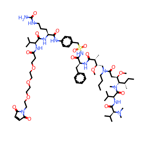 CCCCN(C[C@H](OC)[C@@H](C)C(=O)N[C@@H](Cc1ccccc1)C(=O)NS(=O)(=O)Cc1ccc(NC(=O)[C@H](CCCNC(N)=O)NC(=O)[C@@H](NC(=O)CCOCCOCCOCCN2C(=O)C=CC2=O)C(C)C)cc1)C(=O)C[C@@H](OC)[C@H]([C@@H](C)CC)N(C)C(=O)[C@@H](NC(=O)[C@H](C(C)C)N(C)C)C(C)C